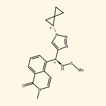 Cn1ccc2c([C@H](NSC(C)(C)C)c3cn([C@@H]4CC45CC5)nn3)cccc2c1=O